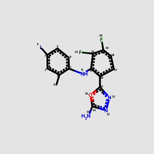 Cc1cc(I)ccc1Nc1c(-c2nnc(N)o2)ccc(F)c1F